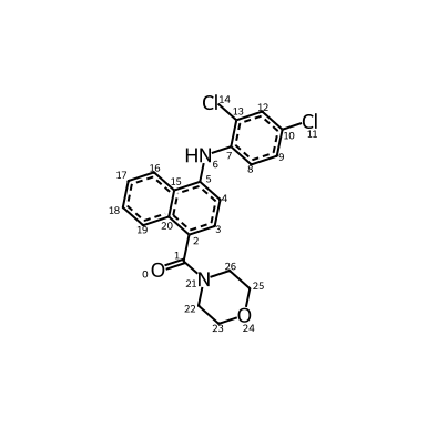 O=C(c1ccc(Nc2ccc(Cl)cc2Cl)c2ccccc12)N1CCOCC1